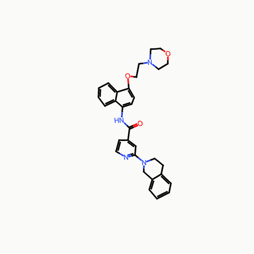 O=C(Nc1ccc(OCCN2CCOCC2)c2ccccc12)c1ccnc(N2CCc3ccccc3C2)c1